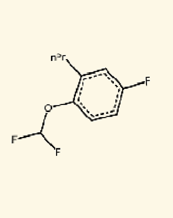 C[CH]Cc1cc(F)ccc1OC(F)F